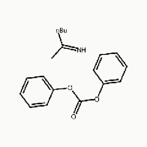 CCCCC(C)=N.O=C(Oc1ccccc1)Oc1ccccc1